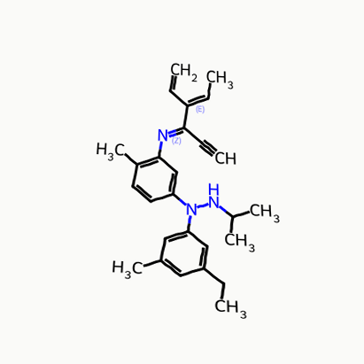 C#CC(=N\c1cc(N(NC(C)C)c2cc(C)cc(CC)c2)ccc1C)/C(C=C)=C/C